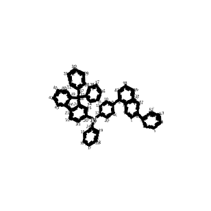 c1ccc(-c2ccc3c(-c4ccc(N(c5ccccc5)c5ccc6c(c5)C(c5ccccc5)(c5ccccc5)c5ccccc5-6)cc4)cccc3c2)cc1